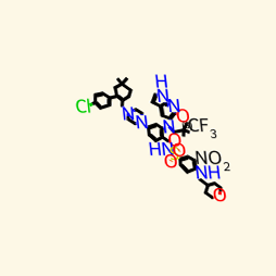 CC1(C)CCC(CN2CCN(c3ccc(C(=O)NS(=O)(=O)c4ccc(NCC5CCOCC5)c([N+](=O)[O-])c4)c(N4CC(C)(C)[C@@H](C(F)(F)F)Oc5nc6[nH]ccc6cc54)c3)CC2)=C(c2ccc(Cl)cc2)C1